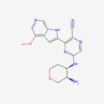 COc1cncc2[nH]c(-c3nc(N[C@@H]4CCOC[C@@H]4N)cnc3C#N)cc12